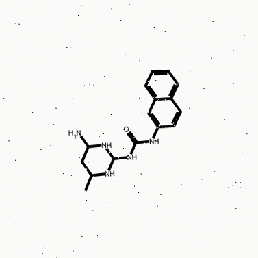 CC1CC(N)NC(NC(=O)Nc2ccc3ccccc3c2)N1